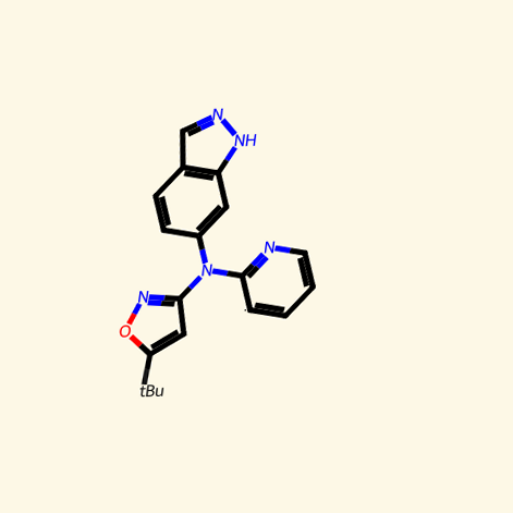 CC(C)(C)c1cc(N(c2ccc3cn[nH]c3c2)c2[c]cccn2)no1